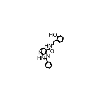 O=C(NCCc1ccccc1O)c1ccnc2[nH]c(-c3ccccc3)nc12